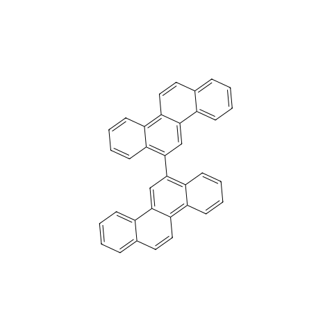 c1ccc2c(c1)ccc1c3ccccc3c(-c3cc4c5ccccc5ccc4c4ccccc34)cc21